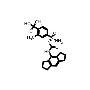 Cc1cc([S@@](N)(=O)=NC(=O)Nc2c3c(cc4c2CCC4)CCC3)ccc1C(C)(C)O